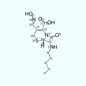 CCCCCNC1C(=O)N2C(C(=O)O)=C(C=NO)CS[C@@H]12